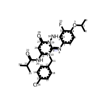 CC(C)Oc1ccc(/N=c2/n(Cc3ccc(Cl)cc3)c(NC(=O)C(C)C)cc(=O)n2N)cc1F